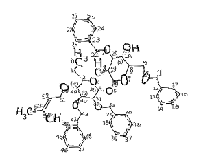 CCC1O[C@H](O[C@H]2OC(COCc3ccccc3)[C@@H](O)C(OCc3ccccc3)C2C)C(OCc2ccccc2)[C@@H](OCc2ccccc2)[C@@H]1OCC=C(C)C